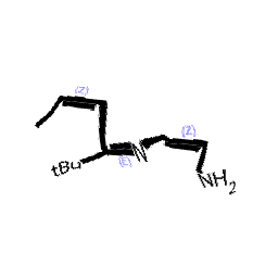 C\C=C/C(=N\C=C/N)C(C)(C)C